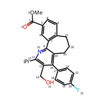 COC(=O)c1ccc2c(c1)-c1nc(C(C)C)c(CO)c(-c3ccc(F)cc3)c1CCC2